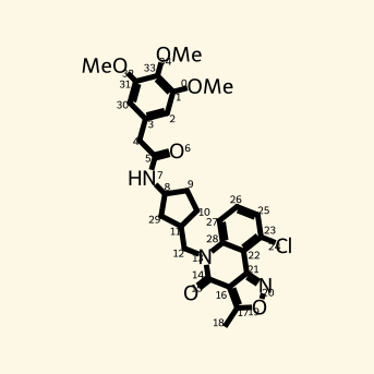 COc1cc(CC(=O)NC2CCC(Cn3c(=O)c4c(C)onc4c4c(Cl)cccc43)C2)cc(OC)c1OC